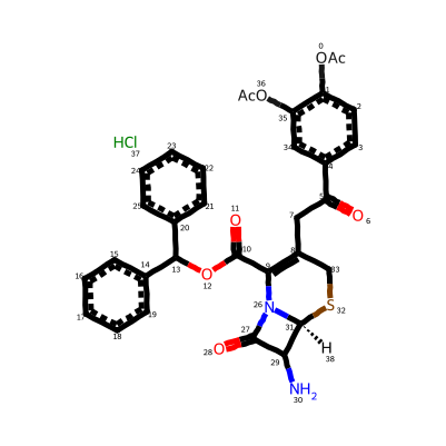 CC(=O)Oc1ccc(C(=O)CC2=C(C(=O)OC(c3ccccc3)c3ccccc3)N3C(=O)C(N)[C@@H]3SC2)cc1OC(C)=O.Cl